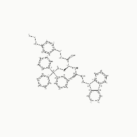 CCOc1ccc(COC(=O)[C@H](CSC(c2ccccc2)(c2ccccc2)c2ccccc2)NC(=O)OCC2c3ccccc3-c3ccccc32)cc1